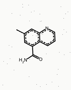 Cc1cc(C(N)=O)c2cccnc2c1